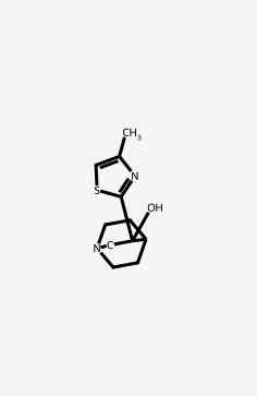 Cc1csc(C2(O)CN3CCC2CC3)n1